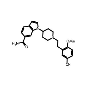 COc1ccc(C#N)cc1CCN1CCC(n2ccc3ccc(C(N)=O)cc32)CC1